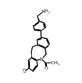 CC(=O)N1Cc2ccc(-c3ccc(CN)cc3)cc2CCc2cc(Cl)ccc21